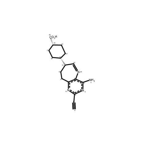 C#Cc1nc(N)c2c(n1)CCC([C@H]1CC[C@@H](C(=O)O)CC1)C=N2